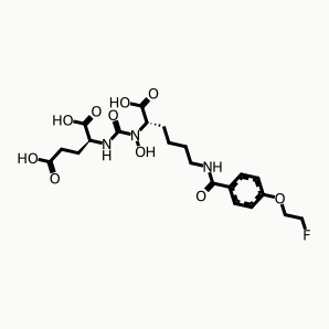 O=C(O)CC[C@H](NC(=O)N(O)[C@@H](CCCCNC(=O)c1ccc(OCCF)cc1)C(=O)O)C(=O)O